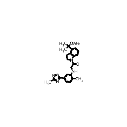 COC(C)(C)c1cccc2c1CCN2C(=O)CNc1cc(-c2nc(C)ns2)ccc1C